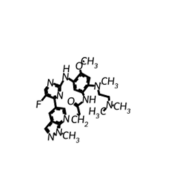 C=CC(=O)Nc1cc(Nc2ncc(F)c(-c3cnc4c(cnn4C)c3)n2)c(OC)cc1N(C)CCN(C)C